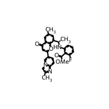 COC(=O)c1c(F)cccc1N[C@H](C)c1cc(C)cc2c(=O)cc(-c3ccc4nc(C)cn4c3)oc12